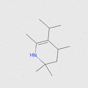 CC1=C(C(C)C)C(C)CC(C)(C)N1